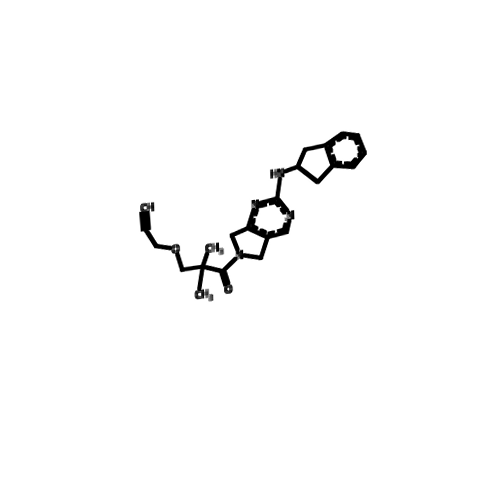 C#CCOCC(C)(C)C(=O)N1Cc2cnc(NC3Cc4ccccc4C3)nc2C1